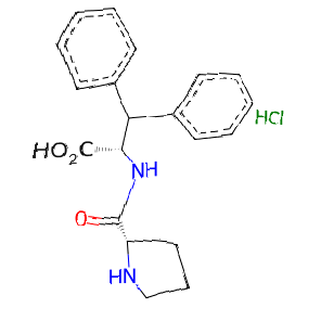 Cl.O=C(N[C@H](C(=O)O)C(c1ccccc1)c1ccccc1)[C@@H]1CCCN1